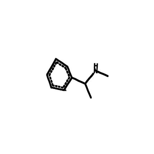 CNC(C)c1[c]cccc1